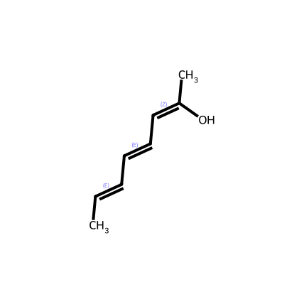 C/C=C/C=C/C=C(/C)O